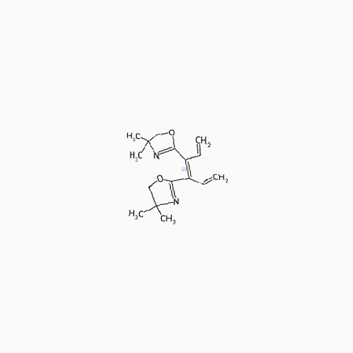 C=C/C(C1=NC(C)(C)CO1)=C(\C=C)C1=NC(C)(C)CO1